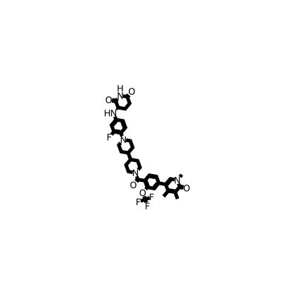 Cc1c(-c2ccc(C(=O)N3CCC(C4CCN(c5ccc(N[C@@H]6CCC(=O)NC6=O)cc5F)CC4)CC3)c(OC(F)(F)F)c2)cn(C)c(=O)c1C